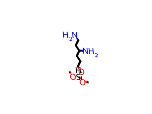 CO[SiH](OC)OCCCC(N)CCN